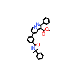 COC(=O)c1c(-c2ccccc2)nn2ccc(-c3cccc(C(=O)NC(C)(C)c4ccccc4)c3)cc12